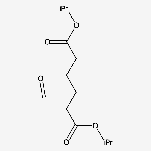 C=O.CC(C)OC(=O)CCCCC(=O)OC(C)C